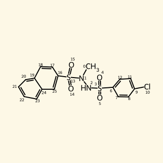 CN(NS(=O)(=O)c1ccc(Cl)cc1)S(=O)(=O)c1ccc2ccccc2c1